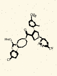 COC(=O)N1CCN(C(=O)C2CN(c3ccc(C#N)nn3)C[C@H]2c2ccc(OC)cc2F)CCC[C@@H]1c1ccc(Cl)cc1